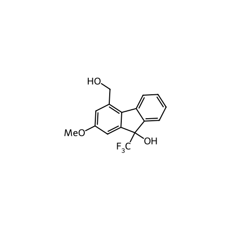 COc1cc(CO)c2c(c1)C(O)(C(F)(F)F)c1ccccc1-2